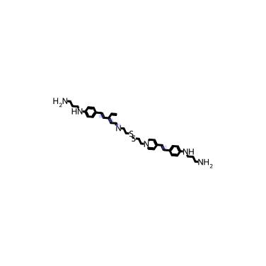 C=CC(/C=C/c1ccc(NCCCN)cc1)=C\C=N\CCSSCCN1C=CC(/C=C/c2ccc(NCCCN)cc2)=CC1